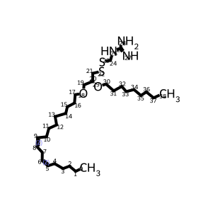 CCCCC/C=C\C/C=C\CCCCCCCCOCC(CSSCNC(=N)N)OCCCCCCCCC